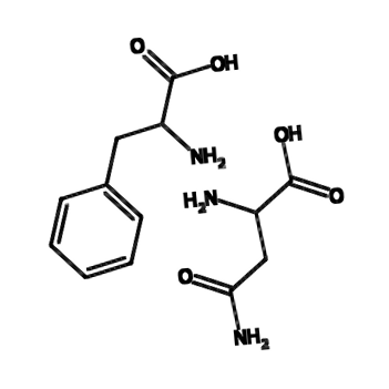 NC(=O)CC(N)C(=O)O.NC(Cc1ccccc1)C(=O)O